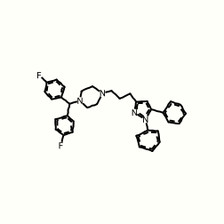 Fc1ccc(C(c2ccc(F)cc2)N2CCN(CCCc3cc(-c4ccccc4)n(-c4ccccc4)n3)CC2)cc1